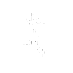 O=C1Nc2ccc(F)cc2C2(CCN(CCC(C(=O)NCc3cccc(OC(F)(F)F)c3)c3ccc(F)cc3)CC2)O1